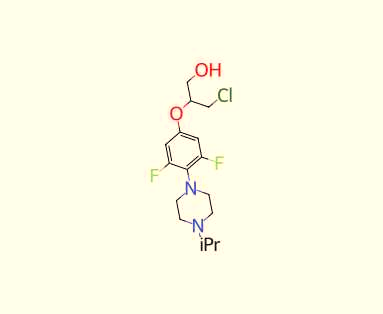 CC(C)N1CCN(c2c(F)cc(OC(CO)CCl)cc2F)CC1